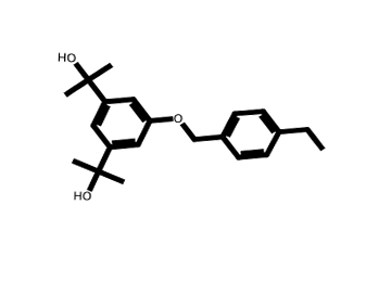 CCc1ccc(COc2cc(C(C)(C)O)cc(C(C)(C)O)c2)cc1